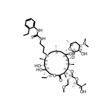 CCc1ccccc1NC(=S)NCCCN1C[C@H](C)C[C@@](C)(O)[C@H](O[C@@H]2O[C@H](C)C[C@H](N(C)C)[C@H]2O)[C@@H](C)[C@H](O[C@@H](CCOC)O[C@@H](C)[C@@H](C)O)[C@@H](C)C(=O)O[C@H](CC)[C@@](C)(O)[C@H](O)[C@H]1C